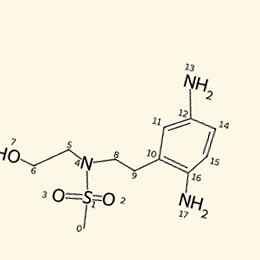 CS(=O)(=O)N(CCO)CCc1cc(N)ccc1N